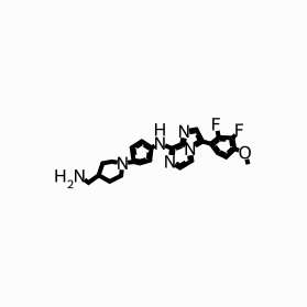 COc1ccc(-c2cnc3c(Nc4ccc(N5CCC(CN)CC5)cc4)nccn23)c(F)c1F